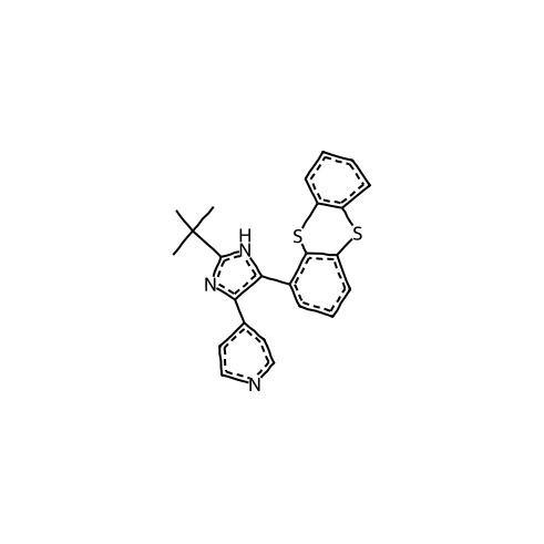 CC(C)(C)c1nc(-c2ccncc2)c(-c2cccc3c2Sc2ccccc2S3)[nH]1